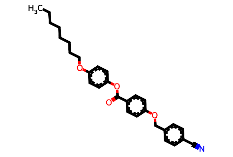 CCCCCCCCOc1ccc(OC(=O)c2ccc(OCc3ccc(C#N)cc3)cc2)cc1